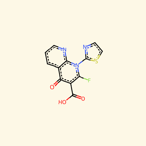 O=C(O)c1c(F)n(-c2nccs2)c2ncccc2c1=O